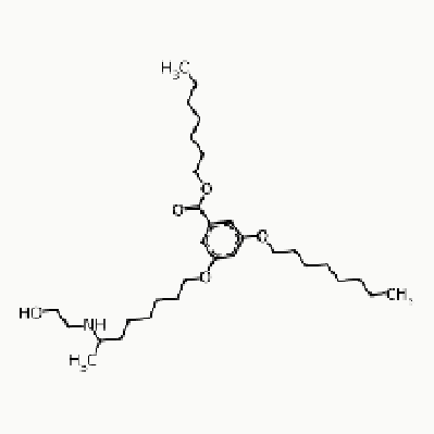 CCCCCCCCOc1cc(OCCCCCCC(C)NCCO)cc(C(=O)OCCCCCCC)c1